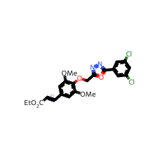 CCOC(=O)/C=C/c1cc(OC)c(OCc2nnc(-c3cc(Cl)cc(Cl)c3)o2)c(OC)c1